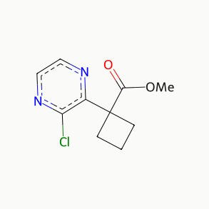 COC(=O)C1(c2nccnc2Cl)CCC1